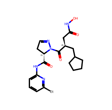 CCc1cccc(NC(=O)[C@@H]2CC=NN2C(=O)[C@@H](CC(=O)NO)CC2CCCC2)n1